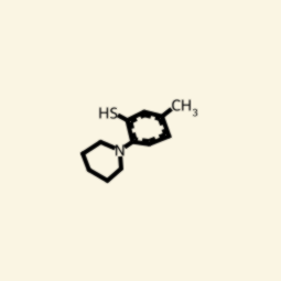 Cc1ccc(N2CCCCC2)c(S)c1